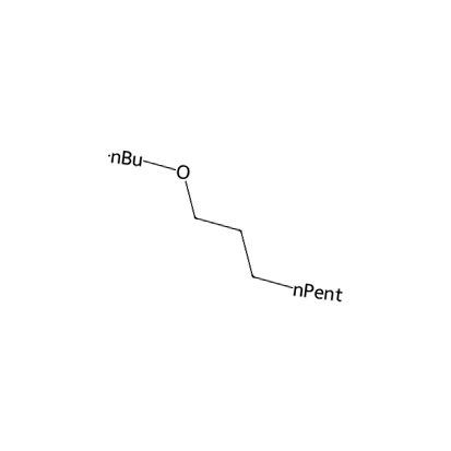 CCC[CH]OCCCCCCCC